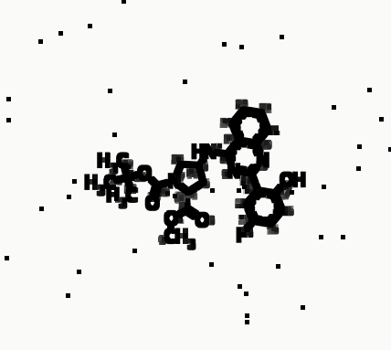 COC(=O)[C@H]1C[C@H](Nc2nc(-c3cc(F)ccc3O)nc3ccccc23)CN1C(=O)OC(C)(C)C